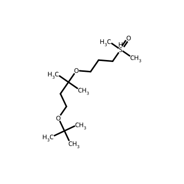 CC(C)(C)OCCC(C)(C)OCCC[SH](C)(C)=O